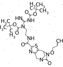 C=CCON1C(=O)N2Cc3nc(C(=O)NCCN(C(=N)NC(=O)OC(C)(C)C)C(=O)OC(C)(C)C)sc3C1C2